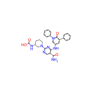 NC(=O)c1cnc(N2CCCC(NC(=O)O)C2)nc1Nc1cc(-c2ccccc2)c(=O)n(-c2ccccc2)c1